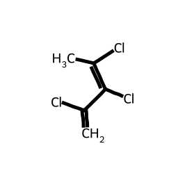 C=C(Cl)/C(Cl)=C(\C)Cl